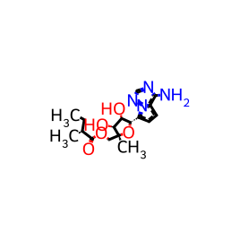 CC[C@@H](C)C(=O)OC[C@@]1(C)O[C@@H](c2ccc3c(N)ncnn23)[C@H](O)[C@@H]1O